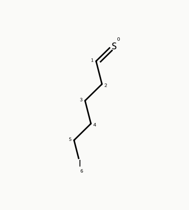 S=CCCCCI